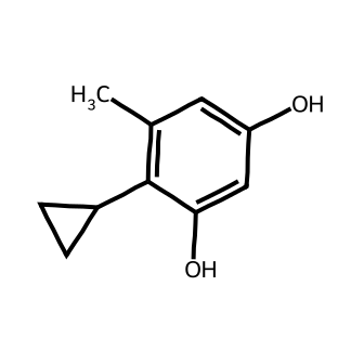 Cc1cc(O)cc(O)c1C1CC1